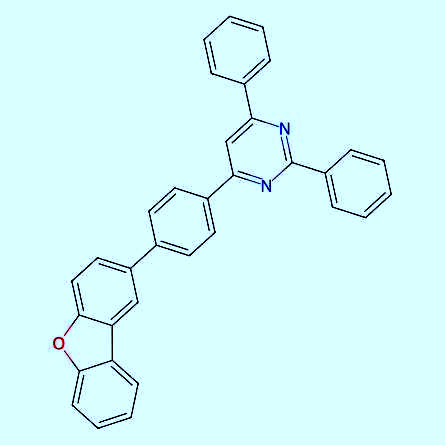 c1ccc(-c2cc(-c3ccc(-c4ccc5oc6ccccc6c5c4)cc3)nc(-c3ccccc3)n2)cc1